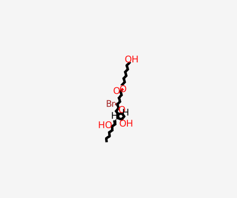 CCCCC[C@H](O)/C=C/[C@@H]1[C@H]2CC(C(Br)CCCC(=O)OCCCCCCCCO)O[C@@H]2C[C@H]1O